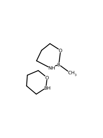 B1CCCCO1.CB1NCCCO1